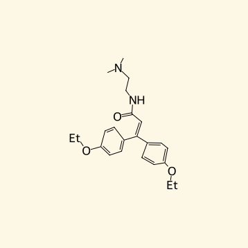 CCOc1ccc(C(=CC(=O)NCCN(C)C)c2ccc(OCC)cc2)cc1